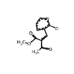 COC(=O)C(=Cc1cccnc1Cl)C(C)=O